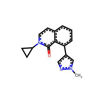 Cn1cc(-c2cccc3ccn(C4CC4)c(=O)c23)cn1